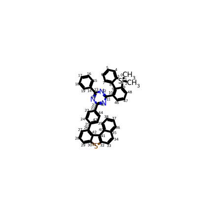 C[Si]1(C)c2ccccc2-c2c(-c3nc(-c4ccccc4)nc(-c4ccc(-c5cccc6sc7ccc8ccccc8c7c56)cc4)n3)cccc21